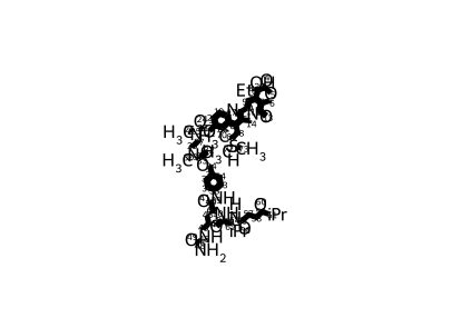 CC[C@@]1(O)C(=O)OCc2c1cc1n(c2=O)Cc2c-1nc1ccc(OC(=O)N(C)CCN(C)C(=O)OCc3ccc(NC(=O)[C@H](CCCNC(N)=O)NC(=O)[C@@H](NC(=O)CCC(=O)C(C)C)C(C)C)cc3)cc1c2CC(C)[SH](C)C